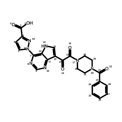 O=C(O)c1ccn(-c2ncnc3c(C(=O)C(=O)N4CCN(C(=O)c5ccccc5)CC4)c[nH]c23)n1